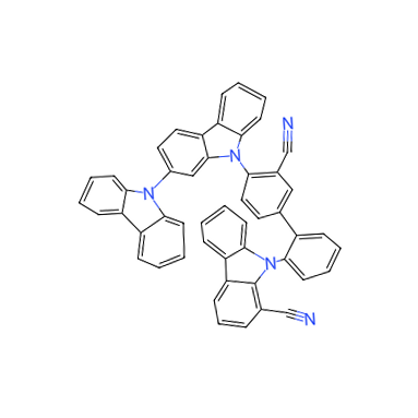 N#Cc1cc(-c2ccccc2-n2c3ccccc3c3cccc(C#N)c32)ccc1-n1c2ccccc2c2ccc(-n3c4ccccc4c4ccccc43)cc21